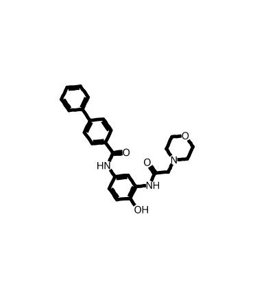 O=C(CN1CCOCC1)Nc1cc(NC(=O)c2ccc(-c3ccccc3)cc2)ccc1O